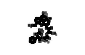 COc1ccc2c3c1OC1C(OC(=O)C(C)OC(=O)C(C)NC(=O)C(NC(C)=O)c4ccccc4)=CCC4(O)C(C2)N(C)CCC314